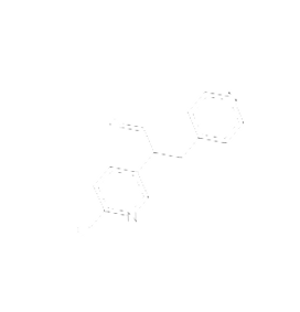 O=CC(Cc1ccncc1)c1ccc(Cl)nc1